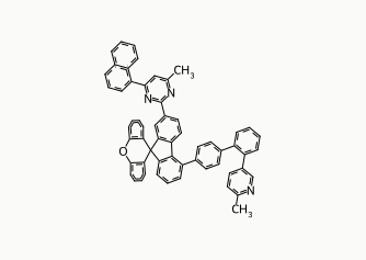 Cc1ccc(-c2ccccc2-c2ccc(-c3cccc4c3-c3ccc(-c5nc(C)cc(-c6cccc7ccccc67)n5)cc3C43c4ccccc4Oc4ccccc43)cc2)cn1